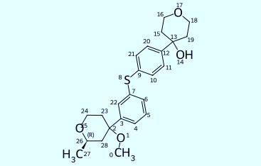 COC1(c2cccc(Sc3ccc(C4(O)CCOCC4)cc3)c2)CCO[C@H](C)C1